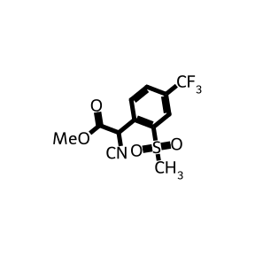 COC(=O)C(C#N)c1ccc(C(F)(F)F)cc1S(C)(=O)=O